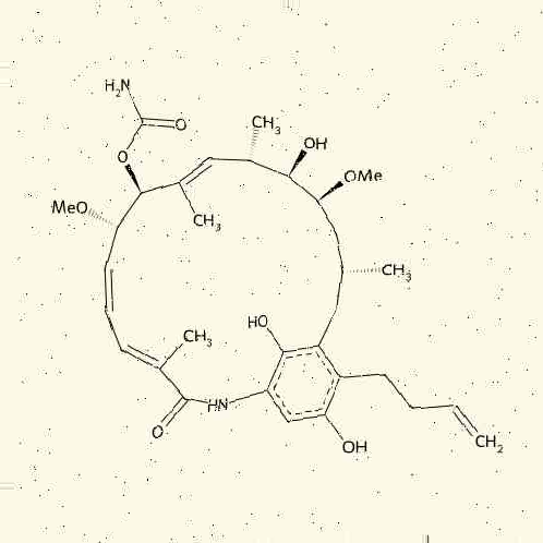 C=CCCc1c(O)cc2c(O)c1C[C@@H](C)C[C@H](OC)[C@H](O)[C@@H](C)/C=C(\C)[C@H](OC(N)=O)[C@@H](OC)/C=C\C=C(/C)C(=O)N2